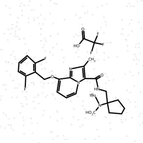 Cc1nc2c(OCc3c(F)cccc3F)cccn2c1C(=O)NCC1(N(C(=O)O)C(C)(C)C)CCCC1.O=C(O)C(F)(F)F